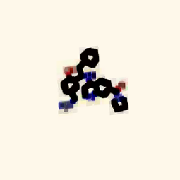 NCc1ccc(O)c(C(Cc2ccccc2)Nc2ccnc3cc(C(=O)N4CCCC4)ccc23)c1